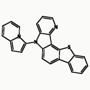 c1ccc2c(c1)sc1c2ccc2c1c1ncccc1n2-c1ccc2ccccn12